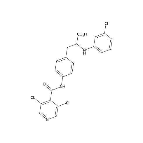 O=C(Nc1ccc(CC(Nc2cccc(Cl)c2)C(=O)O)cc1)c1c(Cl)cncc1Cl